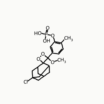 COC1(c2ccc(C)c(OP(=O)(O)O)c2)OOC12C1CC3CC2CC(Cl)(C3)C1